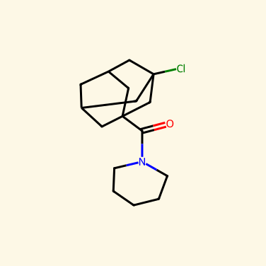 O=C(N1CCCCC1)C12CC3CC(CC(Cl)(C3)C1)C2